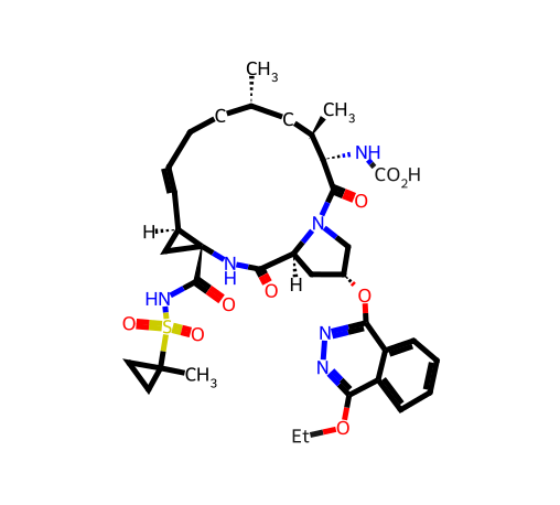 CCOc1nnc(O[C@@H]2C[C@H]3C(=O)N[C@]4(C(=O)NS(=O)(=O)C5(C)CC5)C[C@H]4C=CCC[C@H](C)C[C@@H](C)[C@H](NC(=O)O)C(=O)N3C2)c2ccccc12